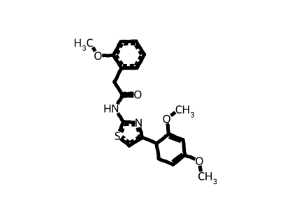 COC1=CCC(c2csc(NC(=O)Cc3ccccc3OC)n2)C(OC)=C1